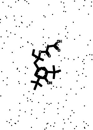 CCC(C)(Cc1cc(C(C)(C)C)c(O)c(C(C)(C)C)c1)OC(=O)CC(=O)O